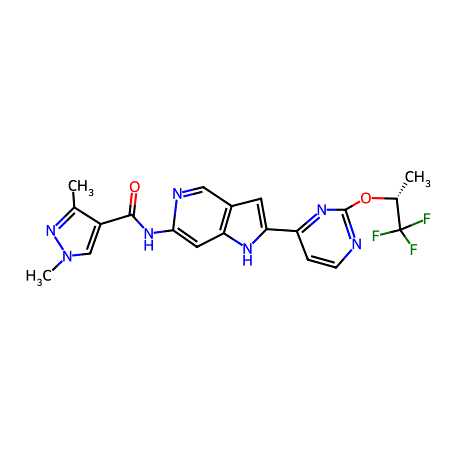 Cc1nn(C)cc1C(=O)Nc1cc2[nH]c(-c3ccnc(O[C@H](C)C(F)(F)F)n3)cc2cn1